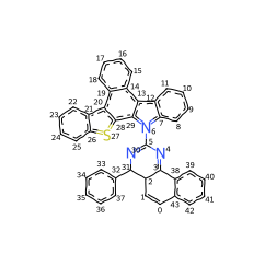 C1=CC2C(=NC(n3c4ccccc4c4c5ccccc5c5c6ccccc6sc5c43)=NC2c2ccccc2)c2ccccc21